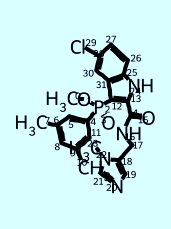 COP(=O)(c1cc(C)cc(C)c1)c1c(C(=O)NCc2cncn2C)[nH]c2ccc(Cl)cc12